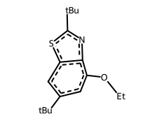 CCOc1cc(C(C)(C)C)cc2sc(C(C)(C)C)nc12